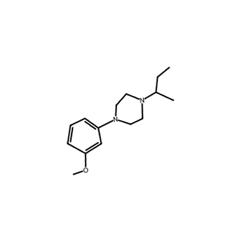 CCC(C)N1CCN(c2cccc(OC)c2)CC1